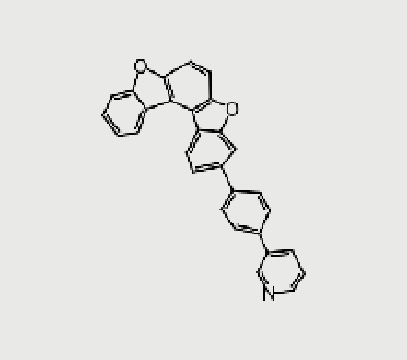 c1cncc(-c2ccc(-c3ccc4c(c3)oc3ccc5oc6ccccc6c5c34)cc2)c1